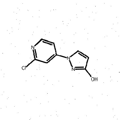 Oc1ccn(-c2ccnc(Cl)c2)n1